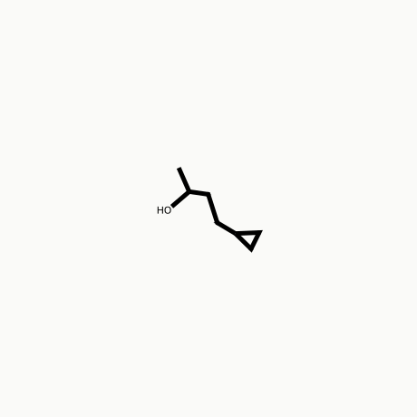 CC(O)C[CH]C1CC1